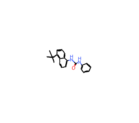 CC(C)(C)c1cccc2c(NC(=O)Nc3ccccc3)cccc12